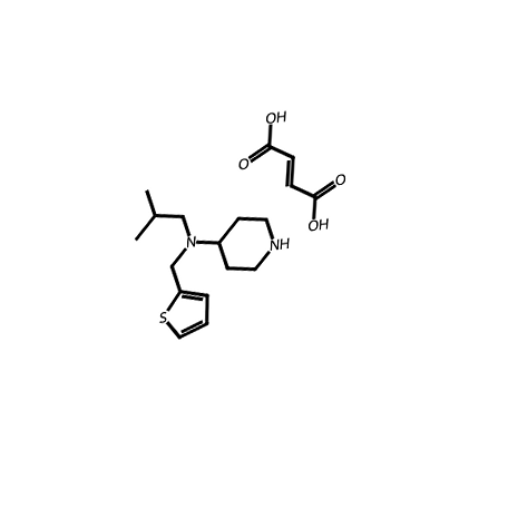 CC(C)CN(Cc1cccs1)C1CCNCC1.O=C(O)/C=C/C(=O)O